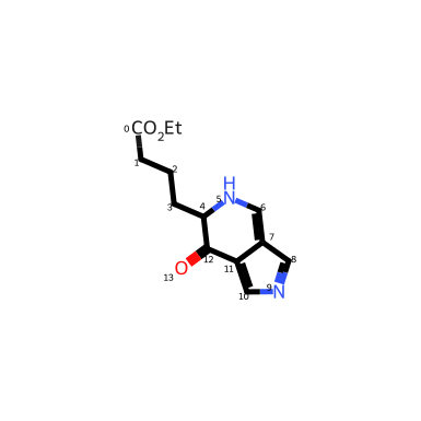 CCOC(=O)CCCC1NC=C2C=NC=C2C1=O